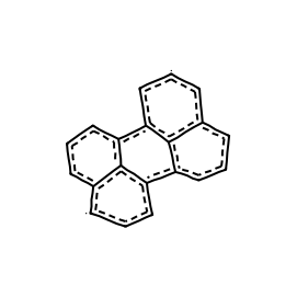 [c]1cc2cccc3c4cc[c]c5cccc(c(c1)c23)c54